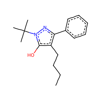 CCCCc1c(-c2ccccc2)nn(C(C)(C)C)c1O